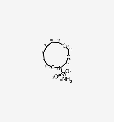 NS(=O)(=O)N1CCCCCCCCCCC1